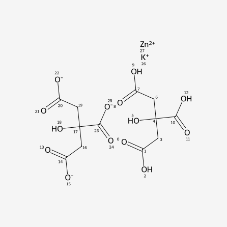 O=C(O)CC(O)(CC(=O)O)C(=O)O.O=C([O-])CC(O)(CC(=O)[O-])C(=O)[O-].[K+].[Zn+2]